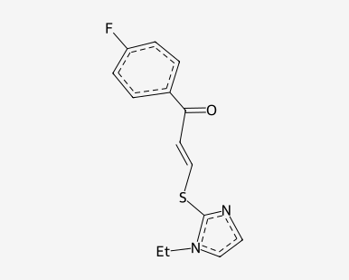 CCn1ccnc1S/C=C/C(=O)c1ccc(F)cc1